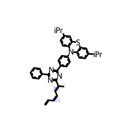 C=C/C=C\C=C(/C)c1nc(-c2ccccc2)nc(-c2ccc(N3c4ccc(C(C)C)cc4Sc4cc(C(C)C)ccc43)cc2)n1